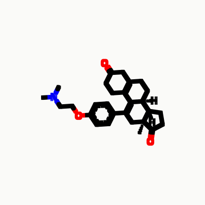 CN(C)CCOc1ccc(C2=C3C4=C(CC[C@H]3[C@@H]3CCC(=O)[C@@]3(C)C2)CC(=O)CC4)cc1